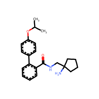 CC(C)Oc1ccc(-c2cc[c]cc2C(=O)NCC2(N)CCCC2)cc1